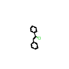 ClC(=Cc1ccccc1)c1[c]cccc1